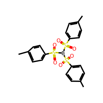 Cc1ccc(S(=O)(=O)B(S(=O)(=O)c2ccc(C)cc2)S(=O)(=O)c2ccc(C)cc2)cc1